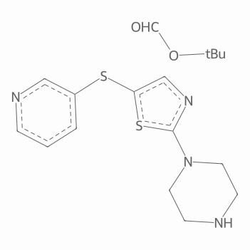 CC(C)(C)OC=O.c1cncc(Sc2cnc(N3CCNCC3)s2)c1